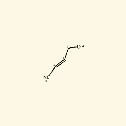 N#C/C=C/C[O]